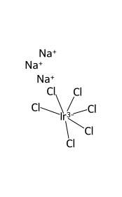 [Cl][Ir-3]([Cl])([Cl])([Cl])([Cl])[Cl].[Na+].[Na+].[Na+]